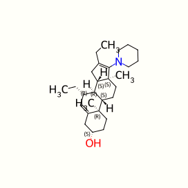 CCC1=C(N2CCCCC2)[C@@]2(C)CC[C@H]3[C@@H]([C@@H](CC)C=C4C[C@@H](O)CC[C@@]43C)[C@@H]2C1